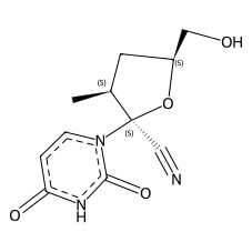 C[C@H]1C[C@@H](CO)O[C@@]1(C#N)n1ccc(=O)[nH]c1=O